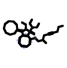 CCCC#CCC(C)COC1=C/C=C\C=C/C(OC2CCCCCCCC2)=C\1P(=S)(N(CC)CC)N(CC)CC